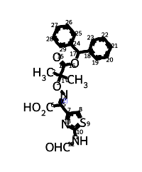 CC(C)(O/N=C(\C(=O)O)c1csc(NC=O)n1)C(=O)OC(c1ccccc1)c1ccccc1